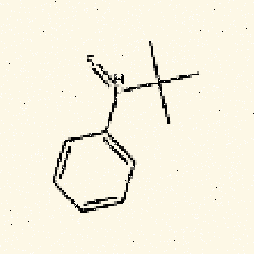 CC(C)(C)[PH](=S)c1ccccc1